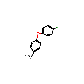 CCOC(=O)c1ccc(Oc2ccc(F)cc2)cc1